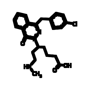 CNCCC(CCCC(=O)O)n1nc(Cc2ccc(Cl)cc2)c2ccccc2c1=O